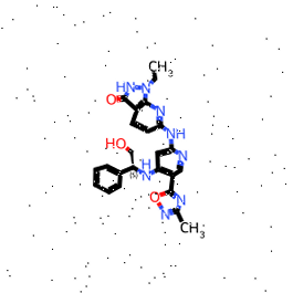 CCn1[nH]c(=O)c2ccc(Nc3cc(N[C@H](CO)c4ccccc4)c(-c4nc(C)no4)cn3)nc21